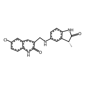 C[C@H]1C(=O)Nc2ccc(NCc3cc4cc(Cl)ccc4[nH]c3=O)cc21